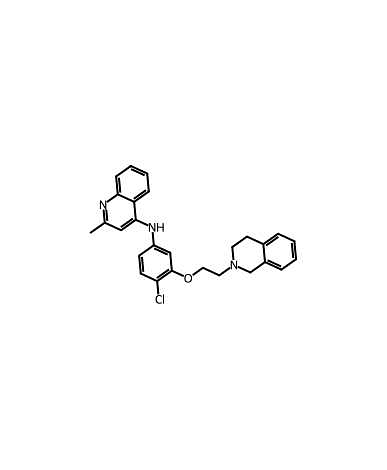 Cc1cc(Nc2ccc(Cl)c(OCCN3CCc4ccccc4C3)c2)c2ccccc2n1